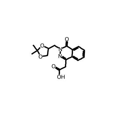 CC1(C)OCC(Cn2nc(CC(=O)O)c3ccccc3c2=O)O1